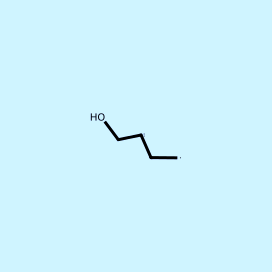 [CH2]C[C]CO